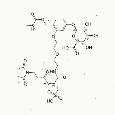 C[SH](C)C(=O)OCc1ccc(O[C@@H]2O[C@H](C(=O)O)[C@@H](O)[C@H](O)[C@H]2O)cc1OCCOCCNC(=O)[C@H](CS(=O)(=O)O)NC(=O)CCN1C(=O)C=CC1=O